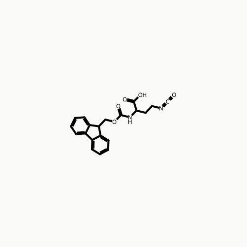 O=C=NCCC(NC(=O)OCC1c2ccccc2-c2ccccc21)C(=O)O